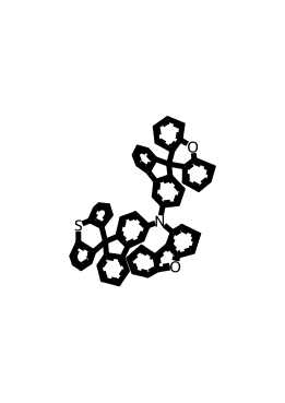 c1ccc2c(c1)Oc1ccccc1C21c2ccccc2-c2cc(N(c3ccc4c(c3)-c3ccccc3C43c4ccccc4Sc4ccccc43)c3cccc4oc5ccccc5c34)ccc21